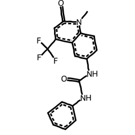 Cn1c(=O)cc(C(F)(F)F)c2cc(NC(=O)Nc3ccccc3)ccc21